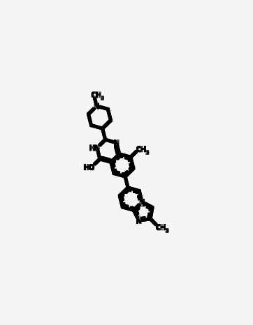 Cc1cn2cc(-c3cc(C)c4c(c3)=C(O)NC(C3CCN(C)CC3)N=4)ccc2n1